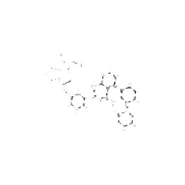 B=CS(=O)(=O)N1CCCC1C(=O)Nc1cncc(-c2nc(NCc3ccccn3)c3c(-c4ccccc4)cccc3n2)c1